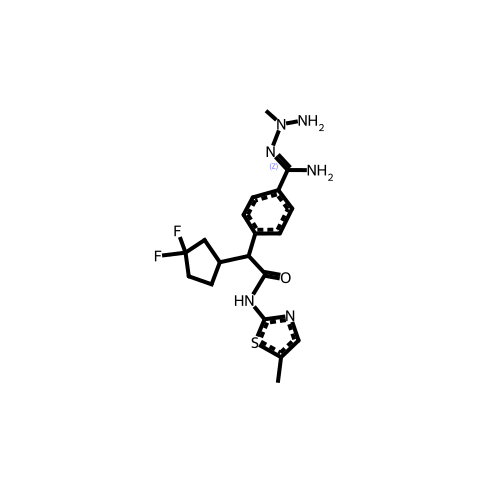 Cc1cnc(NC(=O)C(c2ccc(/C(N)=N/N(C)N)cc2)C2CCC(F)(F)C2)s1